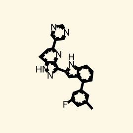 Cc1cc(F)cc(-c2cccc3[nH]c(-c4n[nH]c5ccc(-c6cncnc6)nc45)cc23)c1